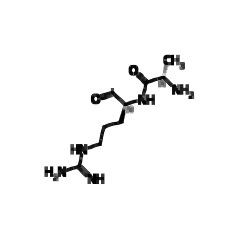 C[C@H](N)C(=O)N[C@H]([C]=O)CCCNC(=N)N